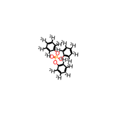 [2H]c1c([2H])c([2H])c(OP(=O)(Oc2c([2H])c([2H])c([2H])c([2H])c2[2H])Oc2c([2H])c([2H])c([2H])c([2H])c2[2H])c([2H])c1[2H]